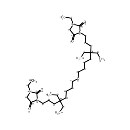 CCN1CC(=O)N(CCCC(CC)(CC)CCCCOCCCCC(CC)(CC)CCCN2C(=O)CN(CC)C2=O)C1=O